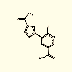 NC(=O)n1cnc(-c2cc(C(=O)O)cnc2Cl)c1